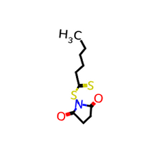 CCCCCC(=S)SN1C(=O)CCC1=O